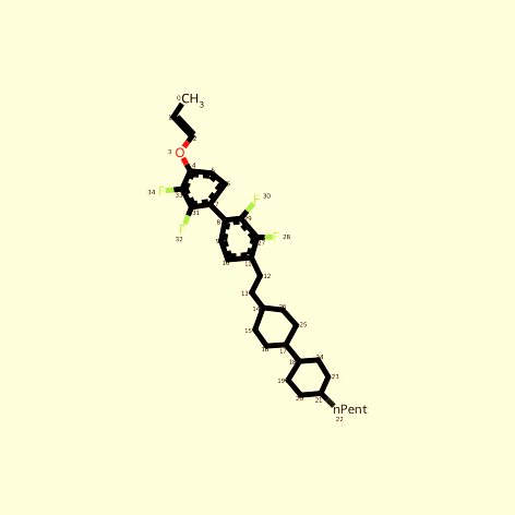 C/C=C/Oc1ccc(-c2ccc(CCC3CCC(C4CCC(CCCCC)CC4)CC3)c(F)c2F)c(F)c1F